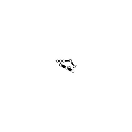 O=C([O-])O[O-].[O]=[U+2]=[O]